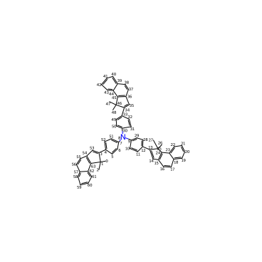 CC1(C)C(c2ccc(N(c3ccc(C4=Cc5ccc6ccccc6c5C4(C)C)cc3)c3ccc(C4=Cc5ccc6ccccc6c5C4(C)C)cc3)cc2)=Cc2ccc3ccccc3c21